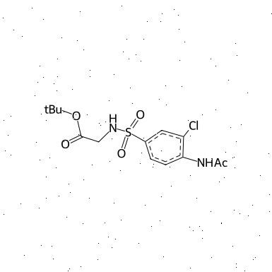 CC(=O)Nc1ccc(S(=O)(=O)NCC(=O)OC(C)(C)C)cc1Cl